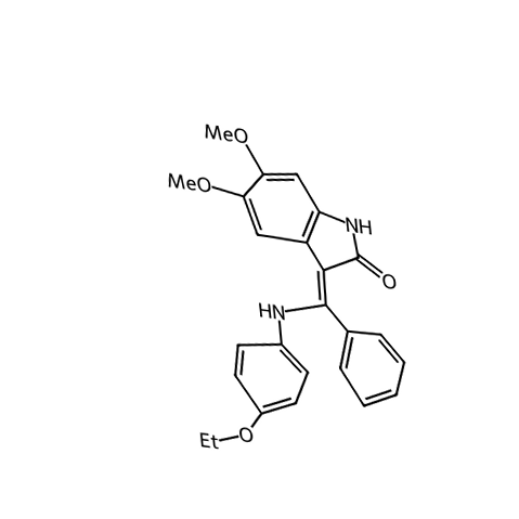 CCOc1ccc(NC(=C2C(=O)Nc3cc(OC)c(OC)cc32)c2ccccc2)cc1